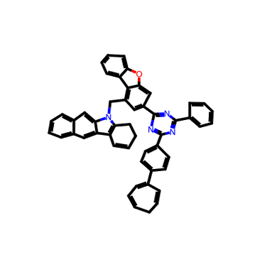 C1=CCC=CC(c2ccc(-c3nc(-c4ccccc4)nc(-c4cc(Cn5c6c(c7cc8ccccc8cc75)C=CCC6)c5c(c4)oc4ccccc45)n3)cc2)=C1